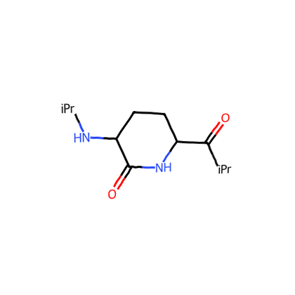 CC(C)NC1CCC(C(=O)C(C)C)NC1=O